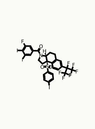 O=C(c1cc(F)c(I)c(I)c1)N1CC[C@@]2(S(=O)(=O)c3ccc(I)cc3)c3ccc(C(F)(C(F)(F)F)C(F)(F)F)cc3CC[C@@H]12